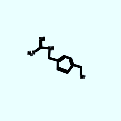 CC(C)Cc1ccc(CNC(=N)N)cc1